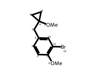 COc1ccc(CC2(OC)CC2)cc1Br